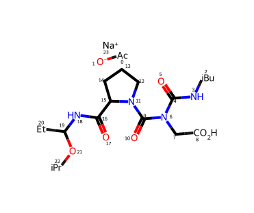 CC(=O)[O-].CCC(C)NC(=O)N(CC(=O)O)C(=O)N1CCCC1C(=O)NC(CC)OC(C)C.[Na+]